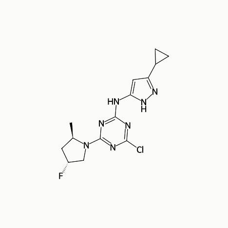 C[C@@H]1C[C@@H](F)CN1c1nc(Cl)nc(Nc2cc(C3CC3)n[nH]2)n1